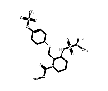 CN(C)S(=O)(=O)N[C@H]1CCCN(C(=O)OC(C)(C)C)[C@H]1CO[C@H]1CC=C(OS(=O)(=O)C(F)(F)F)CC1